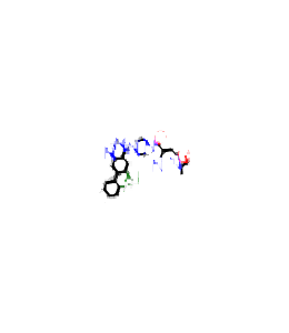 Cc1coc(C=C(C#N)C(=O)N2CCN(c3ncnc4cc(-c5ccccc5F)c(Cl)cc34)CC2)n1